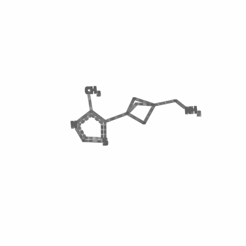 Cc1ncsc1C12CC(CN)(C1)C2